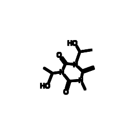 C=C1N(C)C(=O)N(C(C)O)C(=O)N1C(C)O